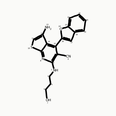 N#Cc1c(NCCCO)nc2scc(N)c2c1-c1cc2ccccc2o1